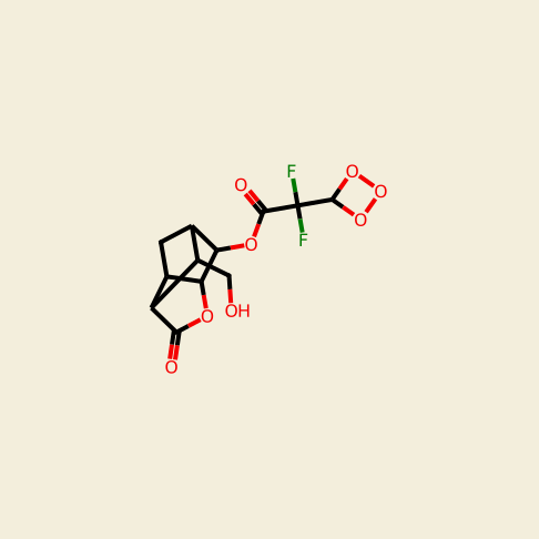 O=C1OC2C3CC(C(CO)C13)C2OC(=O)C(F)(F)C1OOO1